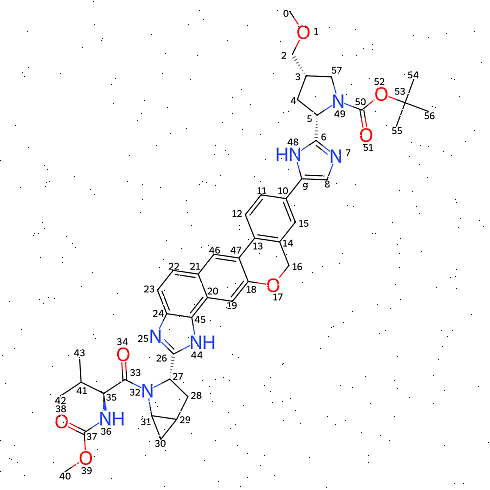 COC[C@H]1C[C@@H](c2ncc(-c3ccc4c(c3)COc3cc5c(ccc6nc([C@@H]7CC8CC8N7C(=O)[C@@H](NC(=O)OC)C(C)C)[nH]c65)cc3-4)[nH]2)N(C(=O)OC(C)(C)C)C1